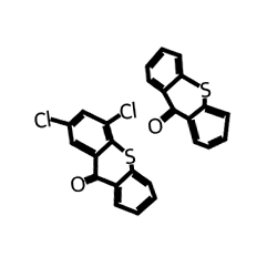 O=c1c2ccccc2sc2c(Cl)cc(Cl)cc12.O=c1c2ccccc2sc2ccccc12